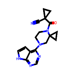 N#CC1(C(=O)N2CCN(c3ncnc4[nH]ccc34)CC23CC3)CC1